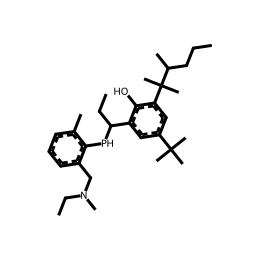 CCCC(C)C(C)(C)c1cc(C(C)(C)C)cc(C(CC)Pc2c(C)cccc2CN(C)CC)c1O